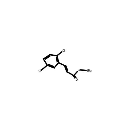 CC(C)(C)OC(=O)C=Cc1cc(Cl)ccc1Cl